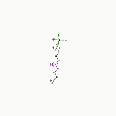 CCCC[PH2+]CCCC.F[B-](F)(F)F